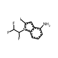 Nc1cccc2c1cc(I)n2C(F)C(F)F